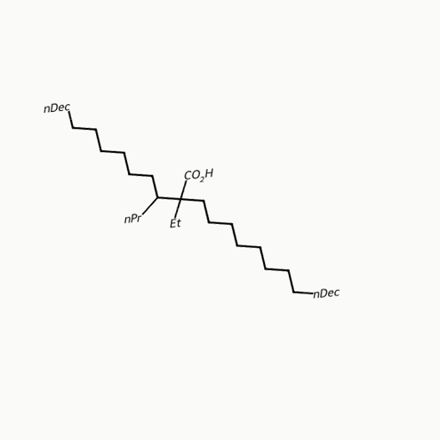 CCCCCCCCCCCCCCCCCCC(CC)(C(=O)O)C(CCC)CCCCCCCCCCCCCCCC